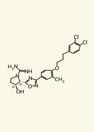 Cc1cc(-c2noc([C@@H]3[C@@H](O)CCN3C(=N)N)n2)ccc1OCCCc1ccc(Cl)c(Cl)c1